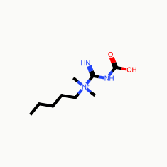 CCCCC[N+](C)(C)C(=N)NC(=O)O